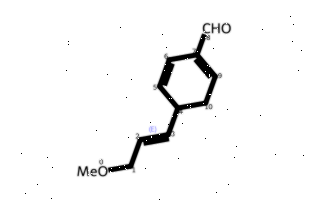 COC/C=C/C1C=CC(C=O)=CC1